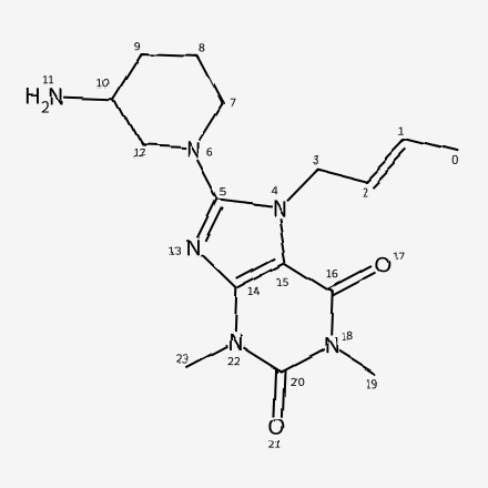 C/C=C/Cn1c(N2CCCC(N)C2)nc2c1c(=O)n(C)c(=O)n2C